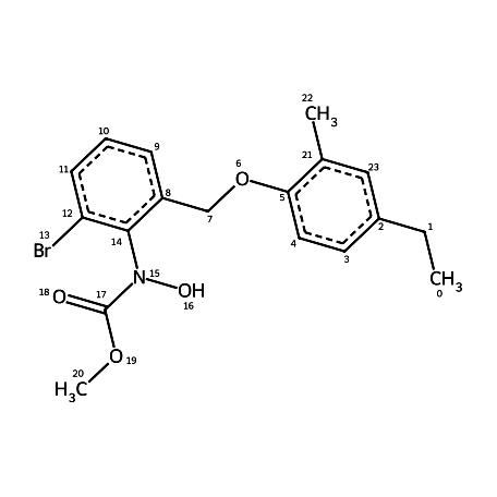 CCc1ccc(OCc2cccc(Br)c2N(O)C(=O)OC)c(C)c1